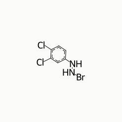 Clc1ccc(NNBr)cc1Cl